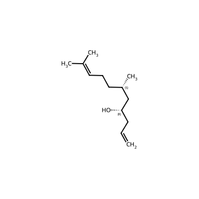 C=CC[C@H](O)C[C@@H](C)CCC=C(C)C